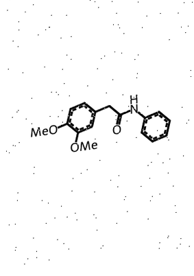 COc1ccc(CC(=O)Nc2ccccc2)cc1OC